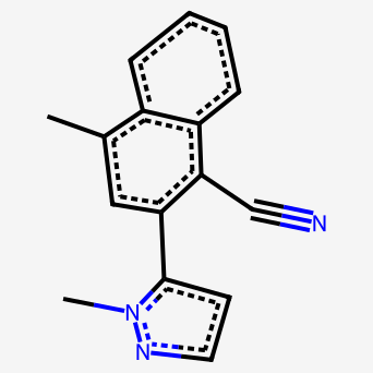 Cc1cc(-c2ccnn2C)c(C#N)c2ccccc12